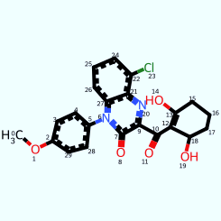 COc1ccc(-n2c(=O)c(C(=O)C3=C(O)CCCC3O)nc3c(Cl)cccc32)cc1